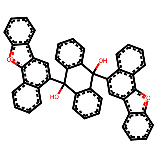 OC1(c2cc3c4ccccc4oc3c3ccccc23)c2ccccc2C(O)(c2cc3c4ccccc4oc3c3ccccc23)c2ccccc21